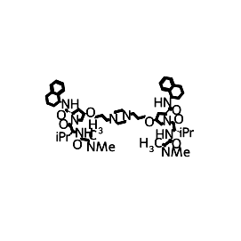 CN[C@@H](C)C(=O)N[C@H](C(=O)N1C[C@@H](OCCCN2CCN(CCCO[C@H]3C[C@@H](C(=O)N[C@@H]4CCCc5ccccc54)N(C(=O)[C@@H](NC(=O)[C@H](C)NC)C(C)C)C3)CC2)C[C@H]1C(=O)N[C@@H]1CCCc2ccccc21)C(C)C